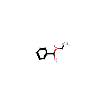 CCOC([O])c1ccccc1